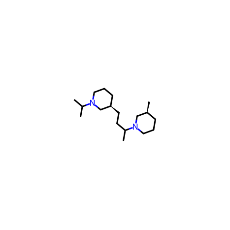 CC(C)N1CCC[C@@H](CCC(C)N2CCC[C@H](C)C2)C1